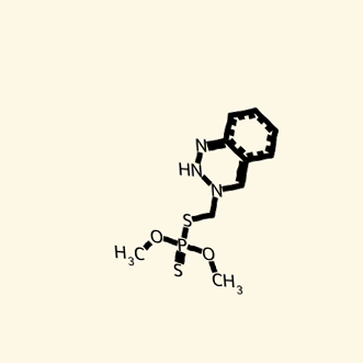 COP(=S)(OC)SCN1C=c2ccccc2=NN1